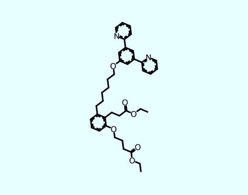 CCOC(=O)CCCOc1cccc(CCCCCCOc2cc(-c3ccccn3)cc(-c3ccccn3)c2)c1CCC(=O)OCC